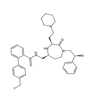 CC[C@H](CN1CC[C@@H](CNC(=O)c2ccccc2-c2ccc(CI)cc2)N[C@@H](CCN2CCCCC2)C1=O)c1ccccc1